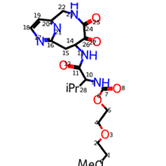 COCCOCCOC(=O)NC(C(=O)NC1Cc2nccc(n2)CNC(=O)C1=O)C(C)C